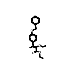 CCOC(=O)/C(OCC)=C(\C)c1ccc(OCc2ccccc2)cc1